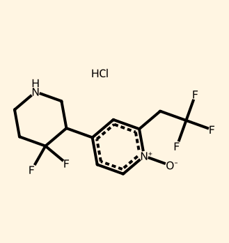 Cl.[O-][n+]1ccc(C2CNCCC2(F)F)cc1CC(F)(F)F